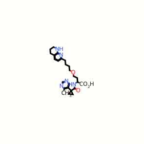 Cc1ncncc1C1(C(=O)NC(CCOCCCCc2ccc3c(n2)NCCC3)C(=O)O)CC1